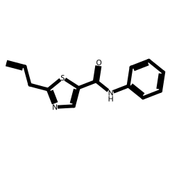 C=CCc1ncc(C(=O)Nc2ccccc2)s1